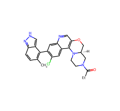 CCC(=O)N1CCN2c3c(cnc4cc(-c5c(C)ccc6n[nH]cc56)c(Cl)cc34)OC[C@H]2C1